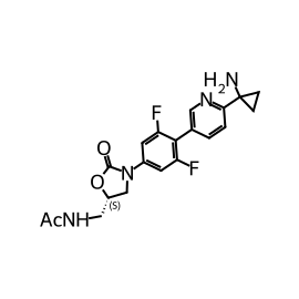 CC(=O)NC[C@H]1CN(c2cc(F)c(-c3ccc(C4(N)CC4)nc3)c(F)c2)C(=O)O1